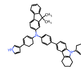 CC1(C)c2ccccc2-c2ccc(N(C3=CC=C(c4cc[nH]c4)CC3)c3ccc(-c4ccc5c(c4)c4c(n5C5=CC=CCC5)CCCC4)cc3)cc21